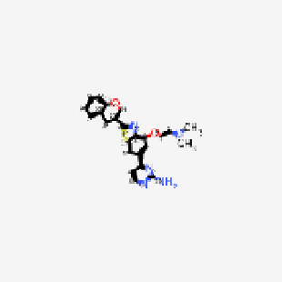 CN(C)CCOc1cc(-c2ccnc(N)n2)cc2sc(C3COc4ccccc4C3)nc12